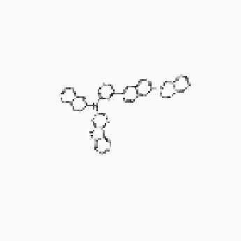 c1cc(-c2ccc3cc(-c4ccc5ccccc5c4)ccc3c2)cc(N(c2ccc3ccccc3c2)c2ccc3c(c2)sc2ccccc23)c1